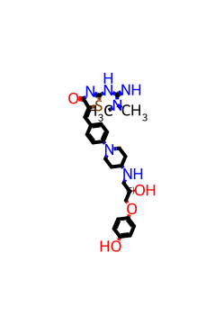 CN(C)C(=N)NC1=NC(=O)C(=Cc2ccc(N3CCC(NC[C@H](O)COc4ccc(O)cc4)CC3)cc2)S1